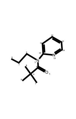 CCCN(C(=O)C(C)(C)C)c1ccccn1